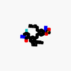 COCCc1cc(NS(C)(=O)=O)ccc1C=Cc1cc(-c2cc(F)c[nH]c2=O)cc(C(C)(C)C)c1OC